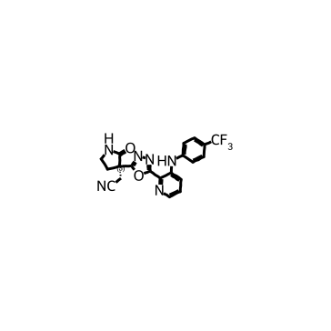 N#CC[C@]1(c2nnc(-c3ncccc3Nc3ccc(C(F)(F)F)cc3)o2)CCNC1=O